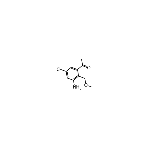 COCc1c(N)cc(Cl)cc1C(C)=O